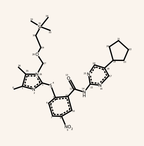 Cc1nc(Sc2ccc([N+](=O)[O-])cc2C(=O)Nc2ncc(C3CCCC3)cn2)n(COCC[Si](C)(C)C)c1C